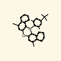 Cc1cc(C(C)(C)C)cc(C)c1N1c2c(cc(C)c3ccccc23)Oc2cc(C)c3ccccc3c21